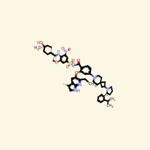 CCc1nc2[nH]cc(F)c2cc1Oc1cc(N2CCC3(CC2)CC(N2CCC[C@H]2c2ccccc2C(C)C)C3)ccc1C(=O)NS(=O)(=O)c1cc2c(c([N+](=O)[O-])c1)N[C@@H]([C@H]1CC[C@](C)(O)CC1)CO2